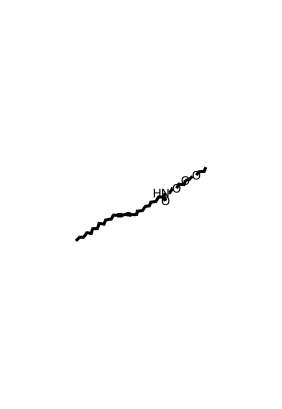 CCCCCCCCCCCCC#CC#CCCCCCCCCC(=O)NCCOCCOCCOCCC